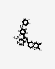 C=C(CN1CCCC(n2nc(-c3ccc(Oc4ccccc4)cc3)c3c(N)ncnc32)C1)C(C)=O